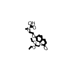 CCOC(Cn1c(=O)ccc2ccc(OCCN(C)C(=O)O)cc21)OCC